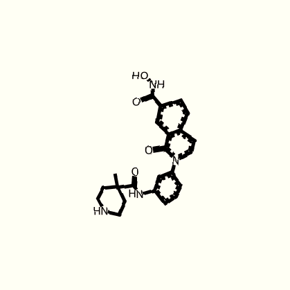 CC1(C(=O)Nc2cccc(-n3ccc4ccc(C(=O)NO)cc4c3=O)c2)CCNCC1